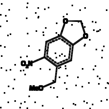 [CH]OCc1cc2c(cc1[N+](=O)[O-])OCO2